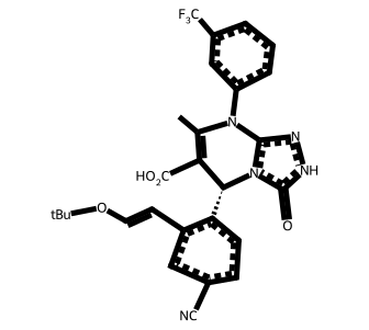 CC1=C(C(=O)O)[C@@H](c2ccc(C#N)cc2C=COC(C)(C)C)n2c(n[nH]c2=O)N1c1cccc(C(F)(F)F)c1